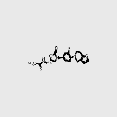 CC(=S)NC[C@H]1CN(c2ccc(N3CCc4sccc4C3)c(F)c2)C(=O)O1